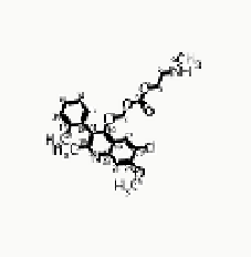 CNCCOC(=O)OCOc1c(-c2ccccc2C)c(C)nc2cc(OC)c(Cl)cc12